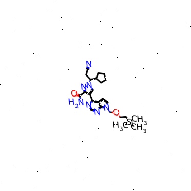 C[Si](C)(C)CCOCn1ccc2c(-c3cn(C(CC#N)C4CCCC4)nc3C(N)=O)ncnc21